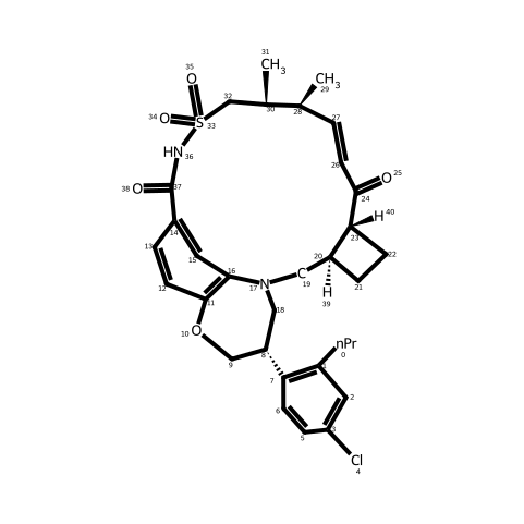 CCCc1cc(Cl)ccc1[C@@H]1COc2ccc3cc2N(C1)C[C@@H]1CC[C@H]1C(=O)/C=C/[C@H](C)[C@H](C)CS(=O)(=O)NC3=O